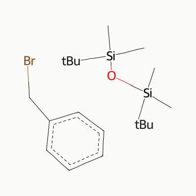 BrCc1ccccc1.CC(C)(C)[Si](C)(C)O[Si](C)(C)C(C)(C)C